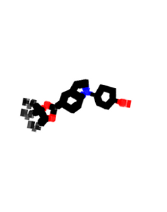 C=C1OB(c2ccc3c(ccn3[C@H]3CC[C@H](O)CC3)c2)OC1(C)C